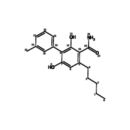 CCCCCc1cc(O)c(-c2cccc(C)c2)c(O)c1C(N)=O